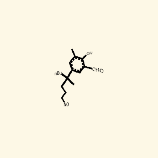 CCCCC(C)(CCCN=O)c1cc(C)c(O)c(C=O)c1